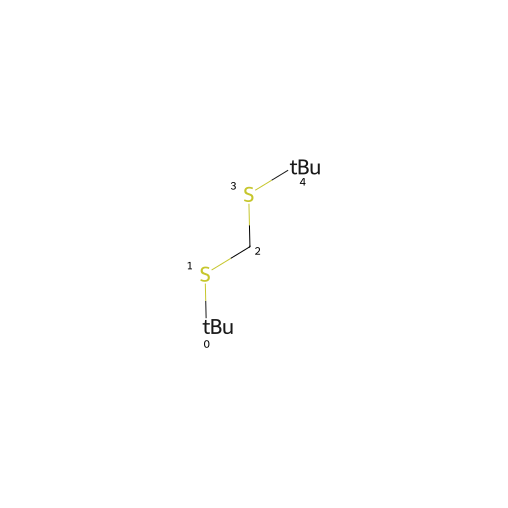 CC(C)(C)SCSC(C)(C)C